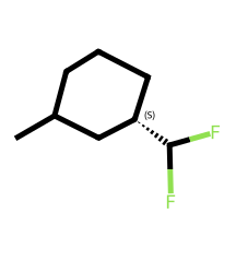 CC1CCC[C@H](C(F)F)C1